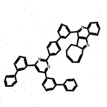 C1=C\CCC2C(=Nc3c2c(-c2cccc(-c4ccc(-c5nc(-c6cccc(-c7ccccc7)c6)cc(-c6cccc(-c7ccccc7)c6)n5)cc4)c2)nc2ccccc32)\C=C/1